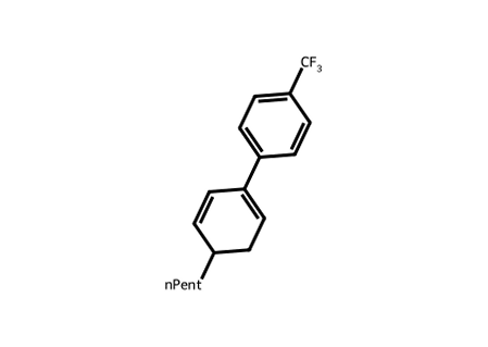 CCCCCC1C=CC(c2ccc(C(F)(F)F)cc2)=CC1